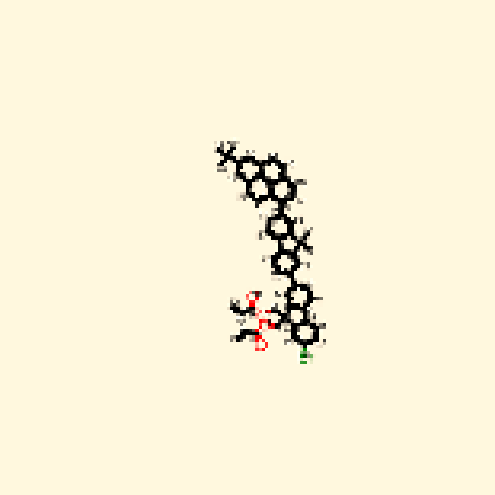 C=CC(=O)OCC1(COC(=O)C=C)c2cc(Br)ccc2-c2ccc(-c3ccc4c(c3)C(C)(C)c3cc(-c5ccc6ccc7cc(C(C)(C)C)cc8ccc5c6c78)ccc3-4)cc21